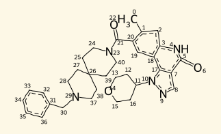 Cc1cc2[nH]c(=O)c3cnn(C4CCOCC4)c3c2cc1C(=O)N1CCC2(CCN(Cc3ccccc3)CC2)CC1